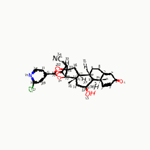 C[C@]12C=CC(=O)C=C1CC[C@@H]1[C@@H]2[C@@H](O)C[C@@]2(C)[C@H]1C[C@H]1OC(c3ccnc(Cl)c3)O[C@]12C(=O)CC#N